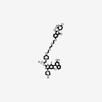 C[C@H](CN1CCC(OCCOCCOCCOc2ccc3c(c2)C(=O)N(C2CCC(=O)NC2=O)C3=O)CC1)Oc1nc(N2CCNCC2)c2cc(Cl)c(-c3cc(O)cc4ccccc34)c(F)c2n1